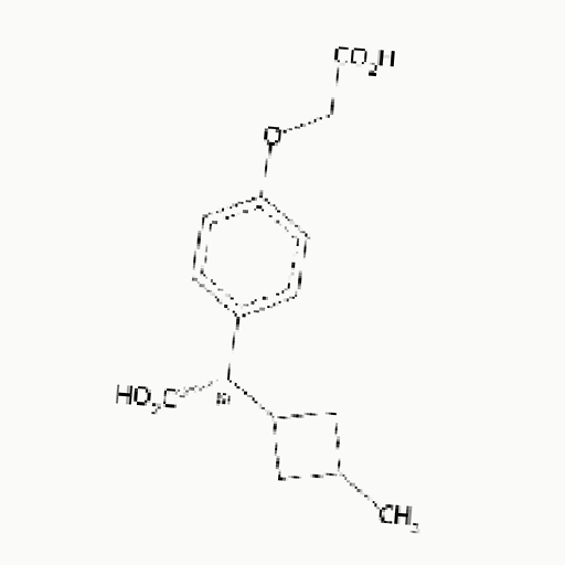 CC1CC([C@H](C(=O)O)c2ccc(OCC(=O)O)cc2)C1